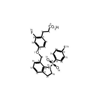 O=C(O)CCc1ccc(OCc2cccc3c2N(S(=O)(=O)c2ccc(F)cc2)CC3)cc1F